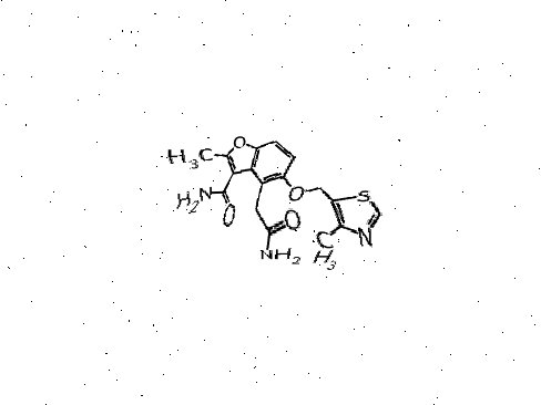 Cc1ncsc1COc1ccc2oc(C)c(C(N)=O)c2c1CC(N)=O